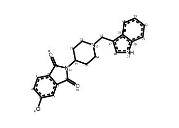 O=C1c2ccc(Cl)cc2C(=O)N1C1CCN(Cc2c[nH]c3ccccc23)CC1